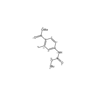 COC(=O)c1ccc(NC(=O)OC(C)(C)C)cc1C